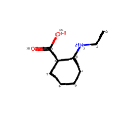 CCNC1CCCCC1C(=O)O